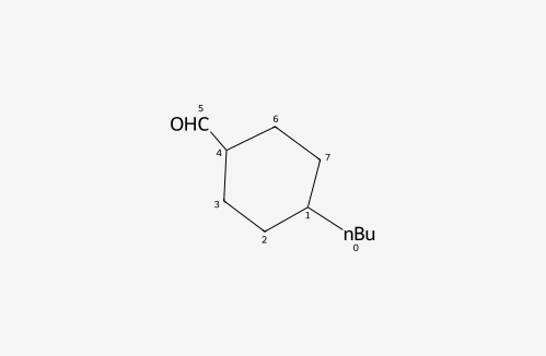 CCCCC1CCC(C=O)CC1